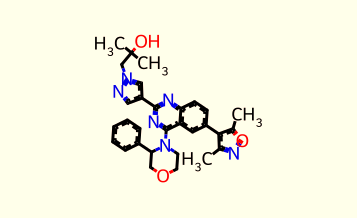 Cc1noc(C)c1-c1ccc2nc(-c3cnn(CC(C)(C)O)c3)nc(N3CCOCC3c3ccccc3)c2c1